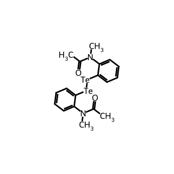 CC(=O)N(C)c1ccccc1[Te][Te]c1ccccc1N(C)C(C)=O